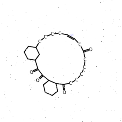 O=C1C/C=C\CCCCC2CCCC(C2)C(=O)C(=O)C2CCCCC2C(=O)CCCCC1